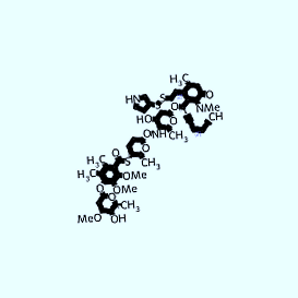 C#C/C=C\C#C[C@H](OC1CC(O)[C@H](NOC2CC[C@H](SC(=O)c3c(C)c(C)c(OC4C[C@H](OC)C(O)[C@H](C)O4)c(OC)c3OC)C(C)O2)C(C)O1)C1=C(NC)C(=O)CC(C)/C1=C/CSSC1CCNC1